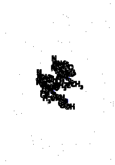 CCOc1cc2ncc(C#N)c(Nc3ccc(Oc4ccccc4)cc3)c2cc1NC(=O)/C=C/CN(C)C.CCOc1cc2ncc(C#N)c(Nc3ccc(Oc4ccccc4)cc3)c2cc1NC(=O)/C=C/CN(C)C.O=C(O)/C=C\C(=O)O